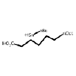 CCCCCCCCCCCCCC(=O)O.CCC[CH2][SnH]